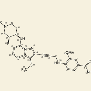 COc1cc(C(N)=O)ccc1NCC#Cc1nn2c(N[C@@H]3CCN(C)C[C@@H]3F)cccc2c1SC(F)(F)F